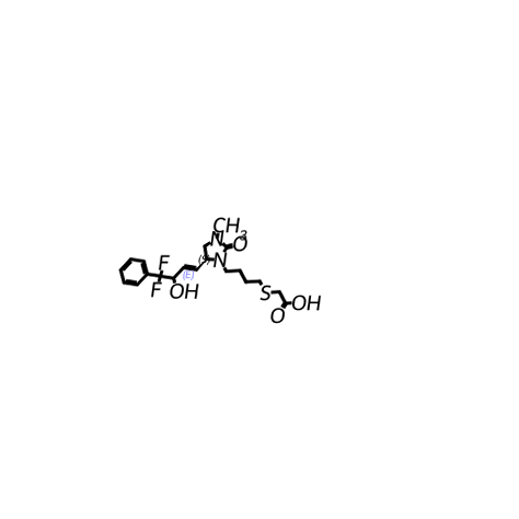 CN1C[C@H](/C=C/C(O)C(F)(F)c2ccccc2)N(CCCCSCC(=O)O)C1=O